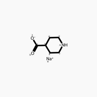 O=C([O-])C1CCNCC1.[Na+]